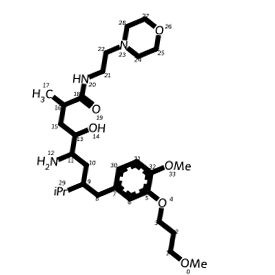 COCCCOc1cc(CC(CC(N)C(O)CC(C)C(=O)NCCN2CCOCC2)C(C)C)ccc1OC